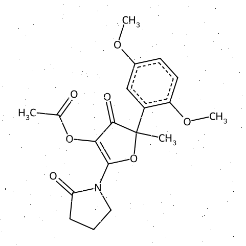 COc1ccc(OC)c(C2(C)OC(N3CCCC3=O)=C(OC(C)=O)C2=O)c1